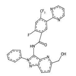 O=C(Nc1c2nc(CO)ccc2nn1-c1ccccc1)c1cc(-c2ncccn2)c(C(F)(F)F)cc1F